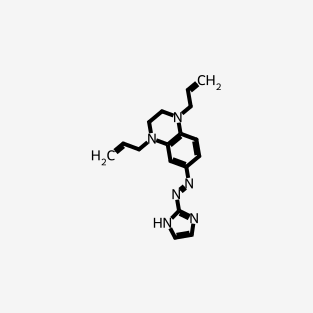 C=CCN1CCN(CC=C)c2cc(N=Nc3ncc[nH]3)ccc21